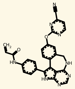 C=CC(=O)Nc1ccc(-c2[nH]c3ncnc4c3c2-c2ccc(Oc3nccc(C#N)n3)cc2CN4)cc1